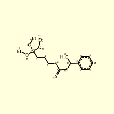 CCO[Si](CCCSC(=S)SC(C)c1ccccc1)(OCC)OCC